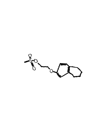 CS(=O)(=O)OCCOc1ccc2c(c1)CCCC2